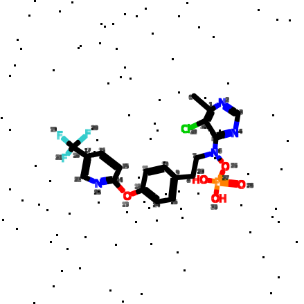 Cc1ncnc(N(CCc2ccc(Oc3ccc(C(F)(F)F)cn3)cc2)OP(=O)(O)O)c1Cl